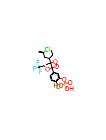 C=C(Cl)CC(CC)C1(C)OOC1(OCC(F)(F)F)c1ccc(Cl)c(OP(=O)(O)O)c1